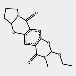 CCOC1Oc2cc3c(cc2C(=O)N1C)OC1CCCN1C3=O